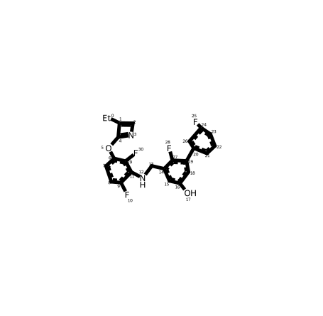 CCC1=CN=C1Oc1ccc(F)c(NCc2cc(O)cc(-c3cccc(F)c3)c2F)c1F